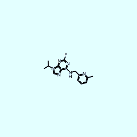 Cc1cccc(CNc2nc(F)nc3c2ncn3C(C)C)n1